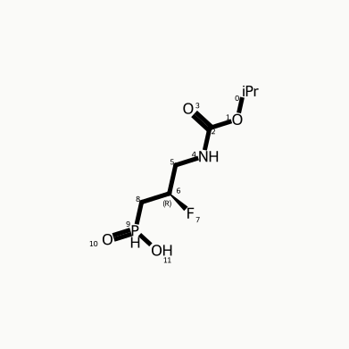 CC(C)OC(=O)NC[C@@H](F)C[PH](=O)O